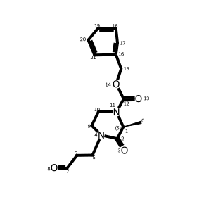 C[C@H]1C(=O)N(CCC=O)CCN1C(=O)OCc1ccccc1